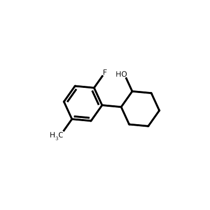 Cc1ccc(F)c(C2CCCCC2O)c1